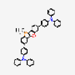 Cp1c2ccc(-c3ccc(N(c4ccccc4)c4ccccc4)cc3)cc2c2oc3cc(-c4ccc(N(c5ccccc5)c5ccccc5)cc4)ccc3c21